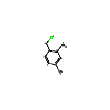 CC(C)(C)c1ccc(CCl)c([N+](=O)[O-])c1